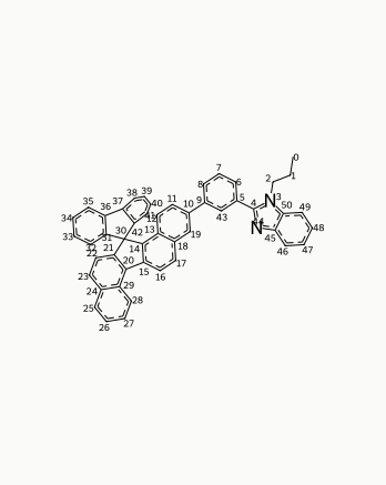 CCCn1c(-c2cccc(-c3ccc4c5c(ccc4c3)-c3c(ccc4ccccc34)C53c4ccccc4-c4ccccc43)c2)nc2ccccc21